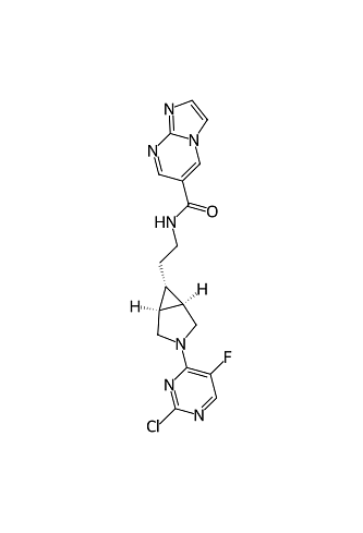 O=C(NCC[C@@H]1[C@H]2CN(c3nc(Cl)ncc3F)C[C@@H]12)c1cnc2nccn2c1